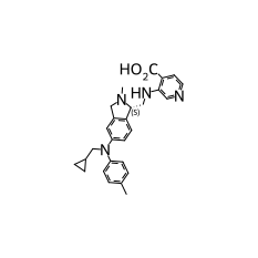 Cc1ccc(N(CC2CC2)c2ccc3c(c2)CN(C)[C@@H]3CNc2cnccc2C(=O)O)cc1